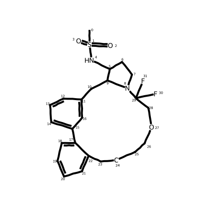 CS(=O)(=O)NC1CCN2C1Cc1cccc(c1)-c1ccccc1CCCCOCC2(F)F